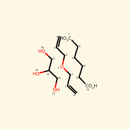 C=CCOCC=C.O=C(O)CCCCC(=O)O.OCC(O)CO